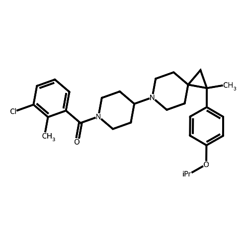 Cc1c(Cl)cccc1C(=O)N1CCC(N2CCC3(CC2)CC3(C)c2ccc(OC(C)C)cc2)CC1